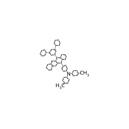 Cc1ccc(N(c2ccc(C)cc2)c2ccc(-c3c4ccccc4c(-c4cc(-c5ccccc5)cc(-c5ccccc5)c4)c4cc5ccccc5cc34)cc2)cc1